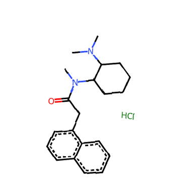 CN(C)C1CCCCC1N(C)C(=O)Cc1cccc2ccccc12.Cl